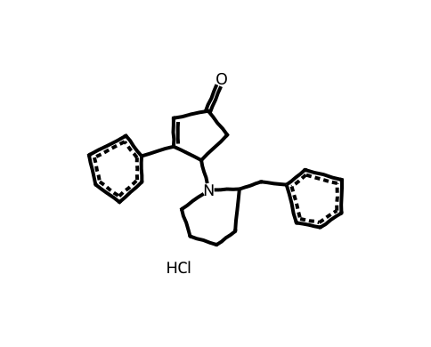 Cl.O=C1C=C(c2ccccc2)C(N2CCCCC2Cc2ccccc2)C1